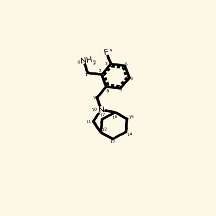 NCc1c(F)cccc1CN1CC2CCCC1C2